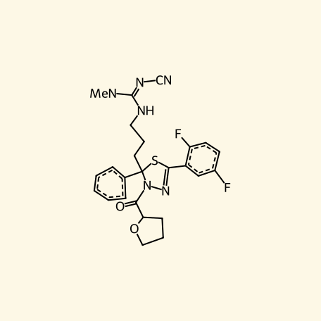 CN/C(=N/C#N)NCCCC1(c2ccccc2)SC(c2cc(F)ccc2F)=NN1C(=O)C1CCCO1